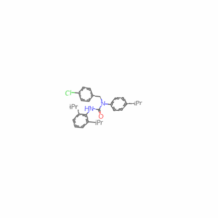 CC(C)c1ccc(N(Cc2ccc(Cl)cc2)C(=O)Nc2c(C(C)C)cccc2C(C)C)cc1